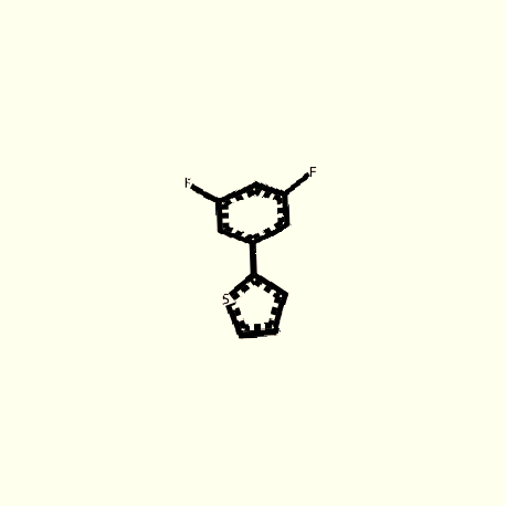 Fc1cc(F)cc(-c2c[c]cs2)c1